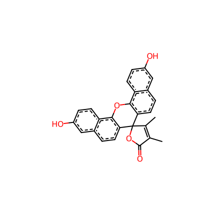 CC1=C(C)C2(OC1=O)c1ccc3cc(O)ccc3c1Oc1c2ccc2cc(O)ccc12